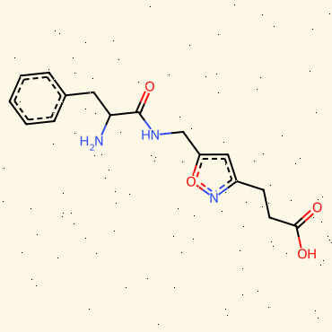 NC(Cc1ccccc1)C(=O)NCc1cc(CCC(=O)O)no1